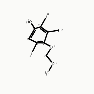 CCOCOc1c(I)cc(O)c(I)c1I